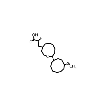 COC1CCCCCCC([C@@H]2CCCCCC(CC(F)C(=O)O)CCC2)CC1